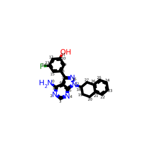 Nc1ncnc2c1c(-c1cc(O)cc(F)c1)nn2C1CCc2ccccc2C1